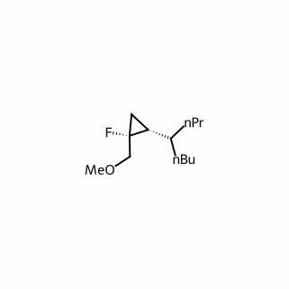 CCCCC(CCC)[C@H]1C[C@]1(F)COC